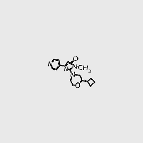 Cn1c(N2CCOC(C3CCC3)C2)nc(-c2ccncc2)cc1=O